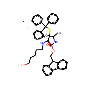 CC(NC(=O)OCC1c2ccccc2-c2ccccc21)C(C)(SC(c1ccccc1)(c1ccccc1)c1ccccc1)C(=O)NCCCCCO